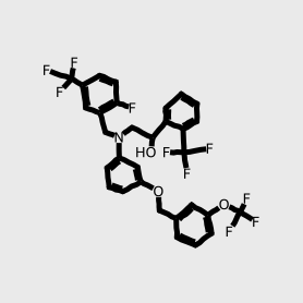 OC(CN(Cc1cc(C(F)(F)F)ccc1F)c1cccc(OCc2cccc(OC(F)(F)F)c2)c1)c1ccccc1C(F)(F)F